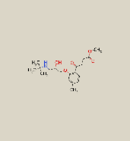 COC(=O)CCC(=O)c1ccc(C)cc1OCC(O)CNC(C)(C)C